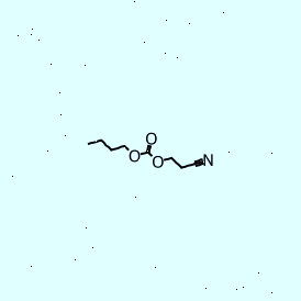 CCCCOC(=O)OCCC#N